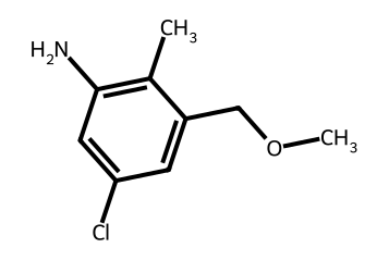 COCc1cc(Cl)cc(N)c1C